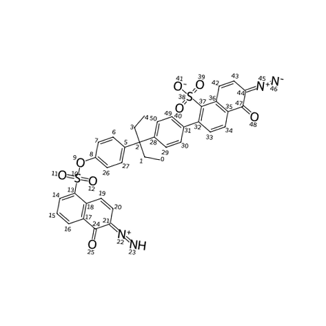 CCC(CC)(c1ccc(OS(=O)(=O)c2cccc3c2C=CC(=[N+]=N)C3=O)cc1)c1ccc(-c2ccc3c(c2S(=O)(=O)[O-])C=CC(=[N+]=[N-])C3=O)cc1